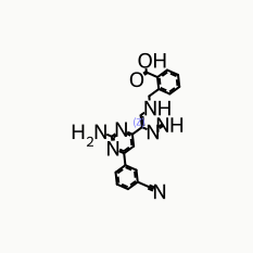 N#Cc1cccc(-c2cc(/C(=C/NCc3ccccc3C(=O)O)N=N)nc(N)n2)c1